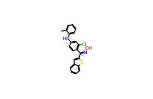 Cc1ccccc1Nc1ccc(/C(=N\O)c2cc3ccccc3s2)c(Cl)c1